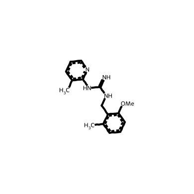 COc1cccc(C)c1CNC(=N)Nc1ncccc1C